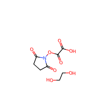 O=C(O)C(=O)ON1C(=O)CCC1=O.OCCO